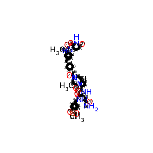 C[C@H]1CN(C(=O)C[C@H]2CC[C@H](Cc3ccc4c(c3)n(C)c(=O)n4C3CCC(=O)NC3=O)CC2)CC[C@H]2CC[C@@H](C(=O)N[C@@H](CCC(N)=O)C(=O)NCc3ccc(S(C)(=O)=O)cc3)N2C1=O